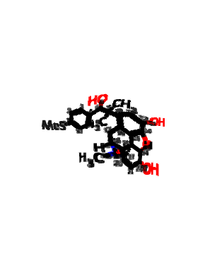 CSc1ccc(C(O)C(C)(C)c2cc(O)c3c4c2C[C@@H]2[C@@H]5C=C[C@H](O)[C@H](O3)[C@]45CCN2C)cc1